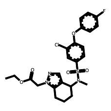 CCOC(=O)Cn1ncc2c1CCCC2N(C)S(=O)(=O)c1ccc(Oc2ccc(F)cc2)c(Cl)c1